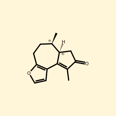 CC1=C2c3ccoc3CC[C@@H](C)[C@H]2CC1=O